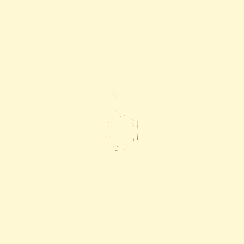 [Al].c1ccsc1